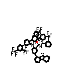 FC(F)(F)c1ccc(-c2ccc3c4ccc(-c5ccc(C(F)(F)F)cc5C(F)(F)F)cc4n(-c4ccc(-c5cccc6c5oc5ccccc56)cc4-c4nc(-c5ccccc5)nc(-c5ccccc5)n4)c3c2)c(C(F)(F)F)c1